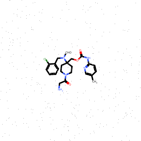 Cc1ccc(NC(=O)OCC2(N(C=O)Cc3ccccc3Cl)CCN(C(=O)CN)CC2)nc1